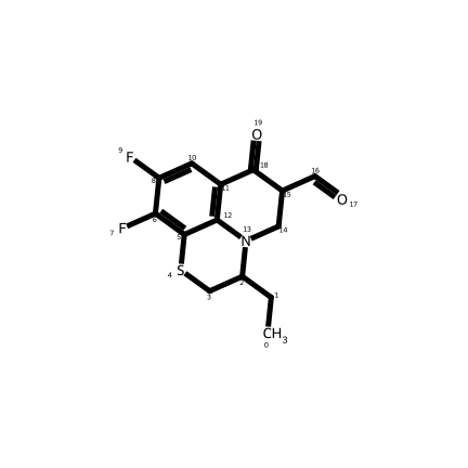 CCC1CSc2c(F)c(F)cc3c2N1CC(C=O)C3=O